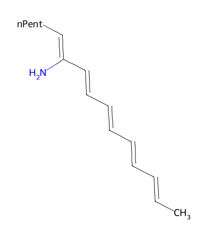 CC=CC=CC=CC=CC(N)=CCCCCC